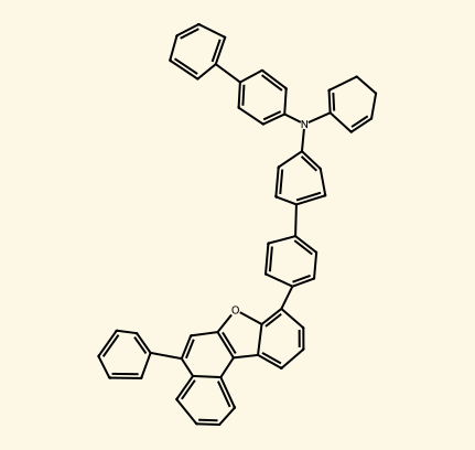 C1=CC(N(c2ccc(-c3ccccc3)cc2)c2ccc(-c3ccc(-c4cccc5c4oc4cc(-c6ccccc6)c6ccccc6c45)cc3)cc2)=CCC1